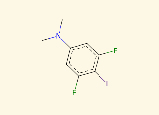 CN(C)c1cc(F)c(I)c(F)c1